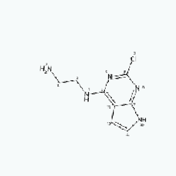 NCCNc1nc(Cl)nc2[nH]ccc12